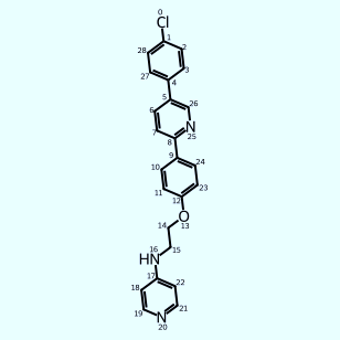 Clc1ccc(-c2ccc(-c3ccc(OCCNc4ccncc4)cc3)nc2)cc1